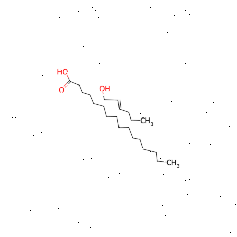 CCC/C=C/CO.CCCCCCCCCCCCCCCC(=O)O